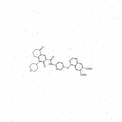 COc1cc2nccc(Oc3ccc(NC(=O)c4cc5c(n(C6CCOCC6)c4=O)CCCC5=O)nc3)c2cc1OC